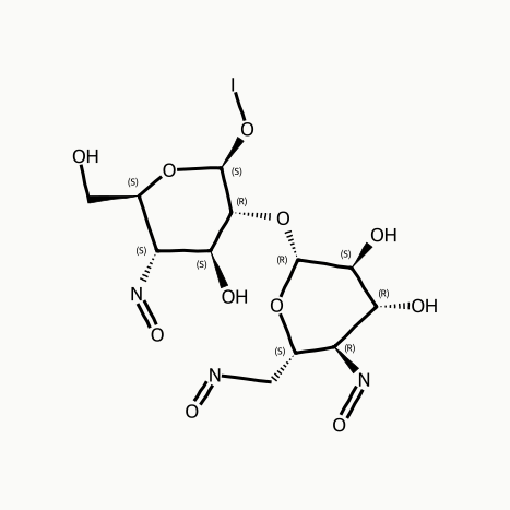 O=NC[C@@H]1O[C@H](O[C@H]2[C@H](OI)O[C@H](CO)[C@@H](N=O)[C@@H]2O)[C@@H](O)[C@H](O)[C@H]1N=O